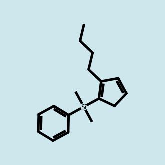 CCCCC1=C([Si](C)(C)c2ccccc2)CC=C1